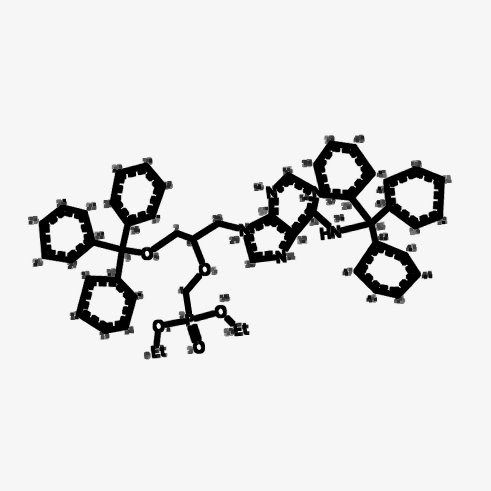 CCOP(=O)(COC(COC(c1ccccc1)(c1ccccc1)c1ccccc1)Cn1cnc2c(NC(c3ccccc3)(c3ccccc3)c3ccccc3)ncnc21)OCC